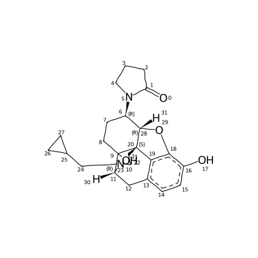 O=C1CCCN1[C@@H]1CCC2(O)[C@H]3Cc4ccc(O)c5c4[C@@]2(CCN3CC2CC2)[C@H]1O5